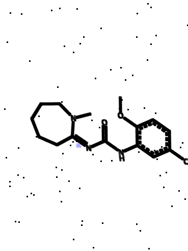 COc1ccc(Cl)cc1NC(=O)/N=C1/CCCCCN1C